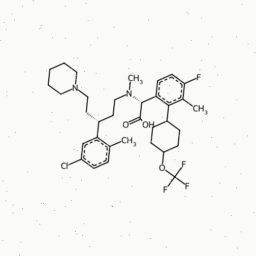 Cc1ccc(Cl)cc1[C@H](CCN1CCCCC1)CCN(C)[C@@H](C(=O)O)c1ccc(F)c(C)c1C1CCC(OC(F)(F)F)CC1